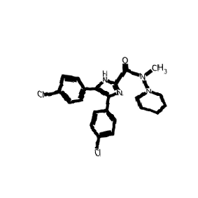 CN(C(=O)c1nc(-c2ccc(Cl)cc2)c(-c2ccc(Cl)cc2)[nH]1)N1CCCCC1